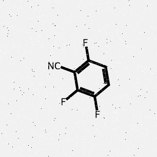 N#Cc1c(F)ccc(F)c1F